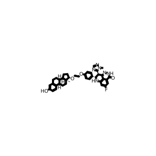 Cn1ncnc1[C@H]1c2n[nH]c(=O)c3cc(F)cc(c23)N[C@@H]1c1ccc(OCCO[C@H]2CC[C@H]3[C@@H]4CCc5cc(O)ccc5[C@H]4CC[C@]23C)cc1